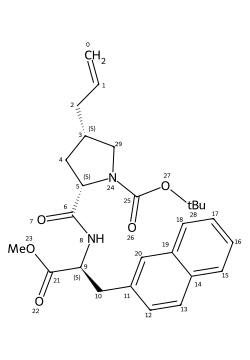 C=CC[C@H]1C[C@@H](C(=O)N[C@@H](Cc2ccc3ccccc3c2)C(=O)OC)N(C(=O)OC(C)(C)C)C1